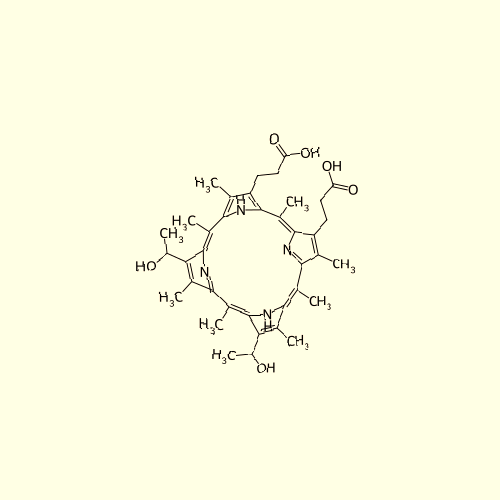 CC1=C(CCC(=O)O)c2nc1c(C)c1[nH]c(c(C)c3nc(c(C)c4[nH]c(c2C)c(CCC(=O)O)c4C)C(C(C)O)=C3C)c(C(C)O)c1C